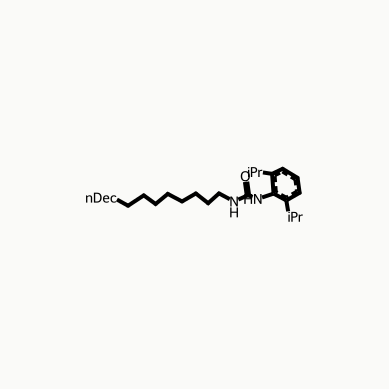 CCCCCCCCCCCCCCCCCCNC(=O)Nc1c(C(C)C)cccc1C(C)C